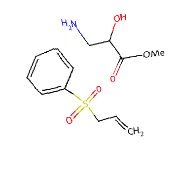 C=CCS(=O)(=O)c1ccccc1.COC(=O)C(O)CN